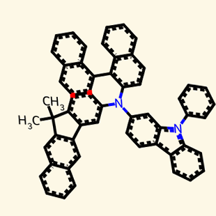 CC1(C)c2ccc(N(c3ccc4c5ccccc5n(-c5ccccc5)c4c3)c3ccc4ccccc4c3-c3cccc4ccccc34)cc2-c2cc3ccccc3cc21